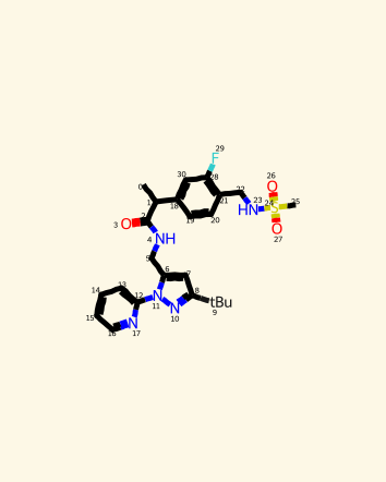 CC(C(=O)NCc1cc(C(C)(C)C)nn1-c1ccccn1)c1ccc(CNS(C)(=O)=O)c(F)c1